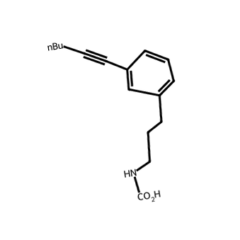 CCCCC#Cc1cccc(CCCNC(=O)O)c1